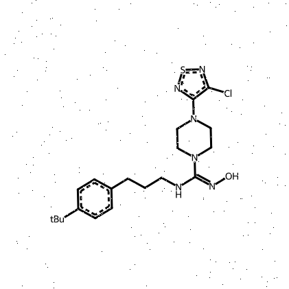 CC(C)(C)c1ccc(CCCN/C(=N/O)N2CCN(c3nsnc3Cl)CC2)cc1